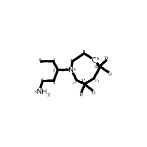 CCC(CCN)N1CCCC(C)(C)CC(C)(C)C1